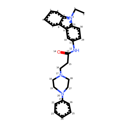 CCn1c2ccccc2c2cc(NC(=O)CCN3CCN(c4ccccc4)CC3)ccc21